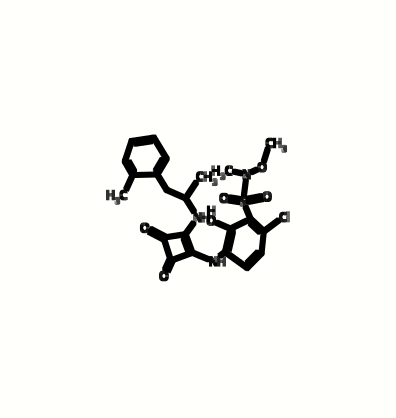 CON(C)S(=O)(=O)c1c(Cl)ccc(Nc2c(NC(C)Cc3ccccc3C)c(=O)c2=O)c1O